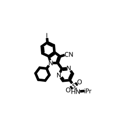 CC(C)NS(=O)(=O)c1cnc(-c2c(C#N)c3cc(I)ccc3n2C2CCCCC2)nc1